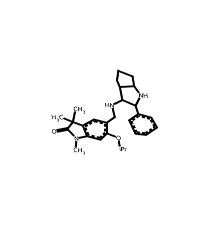 CC(C)Oc1cc2c(cc1CNC1C(c3ccccc3)NC3CCCC31)C(C)(C)C(=O)N2C